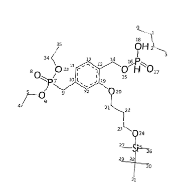 CCCC.CCOP(=O)(Cc1ccc(CO[PH](=O)O)c(OCCCO[Si](C)(C)C(C)(C)C)c1)OCC